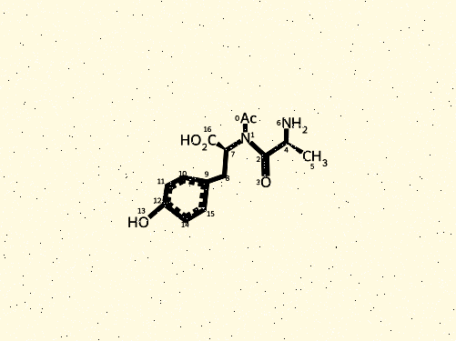 CC(=O)N(C(=O)[C@H](C)N)[C@@H](Cc1ccc(O)cc1)C(=O)O